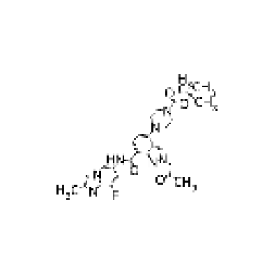 CC(=O)Cn1cc2c(N3CCN(C(=O)OC(C)(C)C)CC3)ccc(C(=O)Nc3cc(F)c4nc(C)cn4c3)c2n1